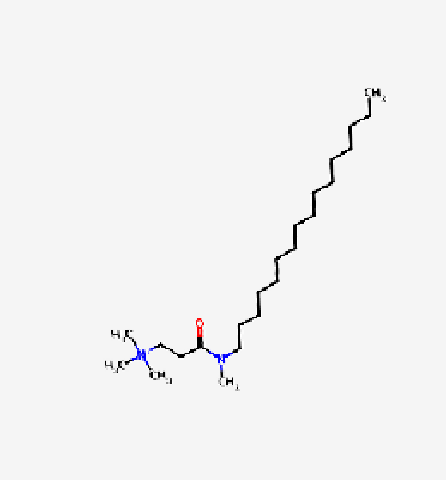 CCCCCCCCCCCCCCCCN(C)C(=O)CC[N+](C)(C)C